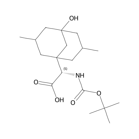 CC1CC2(O)CC(C)CC([C@H](NC(=O)OC(C)(C)C)C(=O)O)(C1)C2